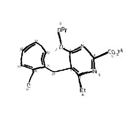 CCCOc1nc(C(=O)O)nc(CC)c1Cc1ccccc1Cl